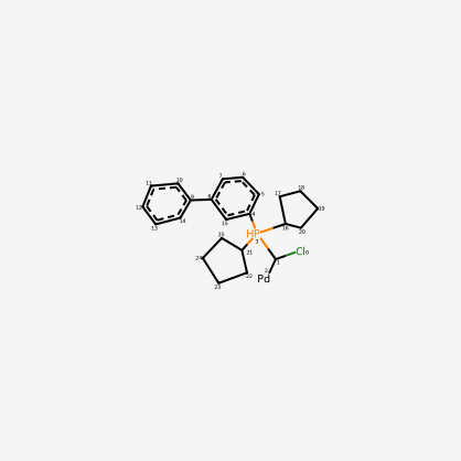 Cl[CH]([Pd])[PH](c1cccc(-c2ccccc2)c1)(C1CCCC1)C1CCCC1